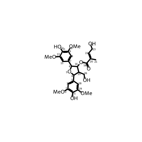 COc1cc(C2OC(c3cc(OC)c(O)c(OC)c3)C(OC(=O)C(C)=CCO)C2CO)cc(OC)c1O